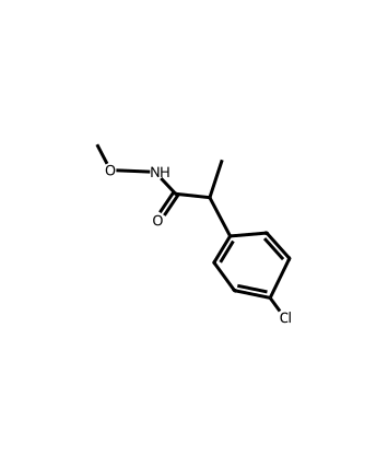 CONC(=O)C(C)c1ccc(Cl)cc1